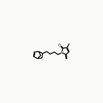 C=C1C=C(C)C(=O)N1CCCCC1CC2C=CC1C2